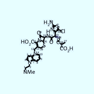 CNCCn1ccc2c1ccc[n+]2CC1=C(C(=O)O)N2C(=O)C(NC(=O)/C(=N\O[C@@H](C)C(=O)O)c3nc(N)sc3Cl)C2SC1